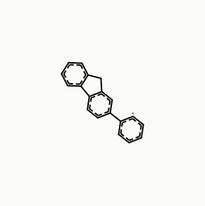 [c]1ccccc1-c1ccc2c(c1)Cc1ccccc1-2